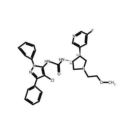 COCCN1C[C@H](NC(=O)Nc2c(Cl)c(-c3ccccc3)nn2-c2ccccc2)[C@@H](c2cncc(F)c2)C1